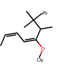 C/C=C\C=C(\OC#N)C(C)C(C)(C)C(C)C